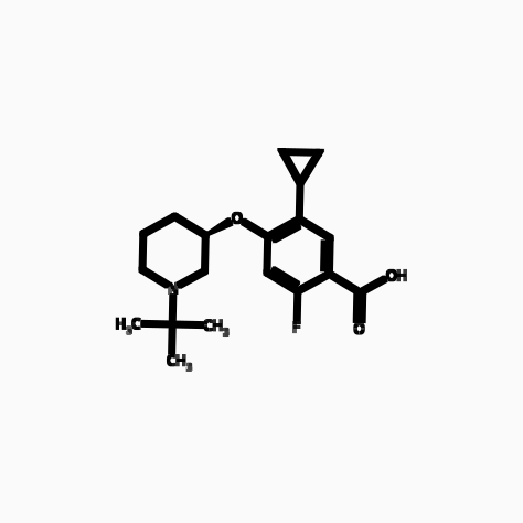 CC(C)(C)N1CCC[C@@H](Oc2cc(F)c(C(=O)O)cc2C2CC2)C1